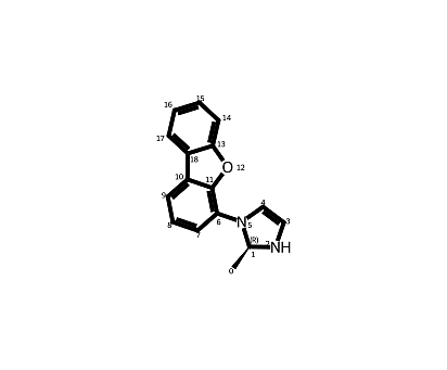 C[C@@H]1NC=CN1c1cccc2c1oc1ccccc12